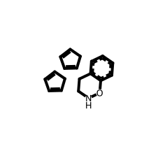 C1=CCC=C1.C1=CCC=C1.c1ccc2c(c1)CCNO2